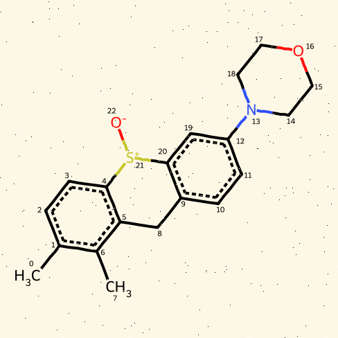 Cc1ccc2c(c1C)Cc1ccc(N3CCOCC3)cc1[S+]2[O-]